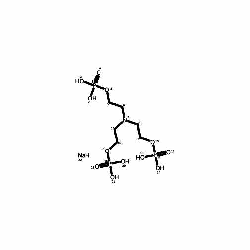 O=P(O)(O)OCCN(CCOP(=O)(O)O)CCOP(=O)(O)O.[NaH]